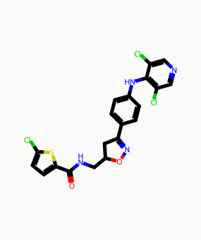 O=C(NCC1CC(c2ccc(Nc3c(Cl)cncc3Cl)cc2)=NO1)c1ccc(Cl)s1